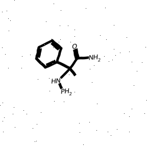 CC(NP)(C(N)=O)c1ccccc1